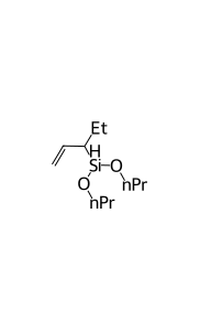 C=CC(CC)[SiH](OCCC)OCCC